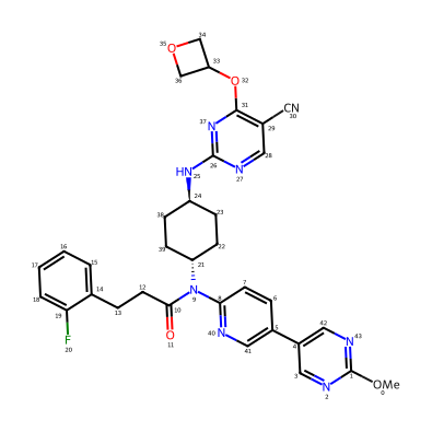 COc1ncc(-c2ccc(N(C(=O)CCc3ccccc3F)[C@H]3CC[C@H](Nc4ncc(C#N)c(OC5COC5)n4)CC3)nc2)cn1